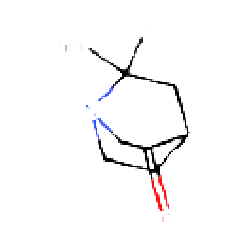 CCCC1(CCC)CC2CCN1CC2=O